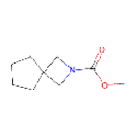 COC(=O)N1CC2(CCCC2)C1